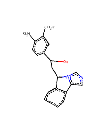 O=C(O)c1cc(C(O)CC2c3ccccc3-c3cncn32)ccc1[N+](=O)[O-]